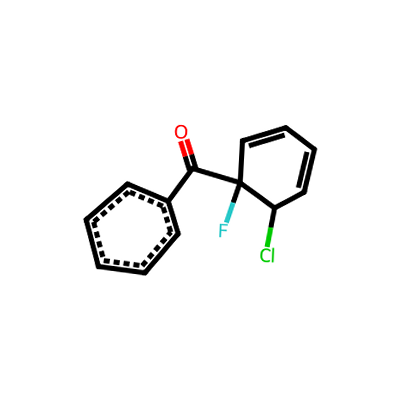 O=C(c1ccccc1)C1(F)C=CC=CC1Cl